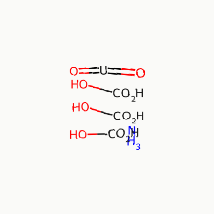 N.O=C(O)O.O=C(O)O.O=C(O)O.[O]=[U]=[O]